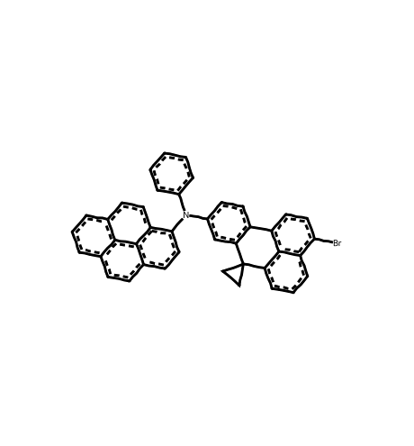 Brc1ccc2c3c(cccc13)C1(CC1)c1cc(N(c3ccccc3)c3ccc4ccc5cccc6ccc3c4c56)ccc1-2